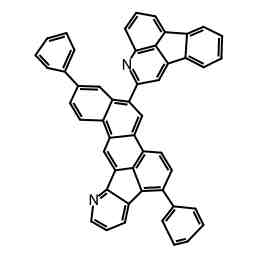 c1ccc(-c2ccc3c(c2)c(-c2cc4c5c(cccc5n2)-c2ccccc2-4)cc2c4ccc(-c5ccccc5)c5c4c(cc32)-c2ncccc2-5)cc1